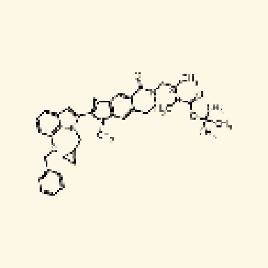 C[C@H](CN1CCc2cc3c(cc2C1=O)nc(-c1cc2cccc(OCc4ccccc4)c2n1CC1CC1)n3C)N(C)C(=O)OC(C)(C)C